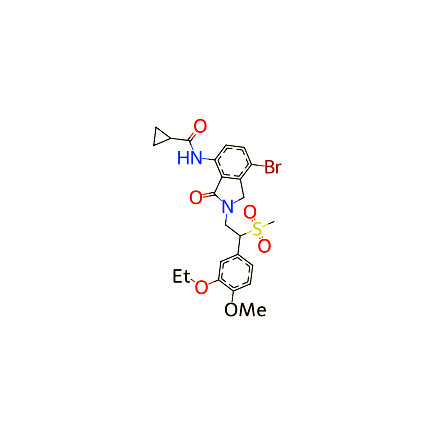 CCOc1cc(C(CN2Cc3c(Br)ccc(NC(=O)C4CC4)c3C2=O)S(C)(=O)=O)ccc1OC